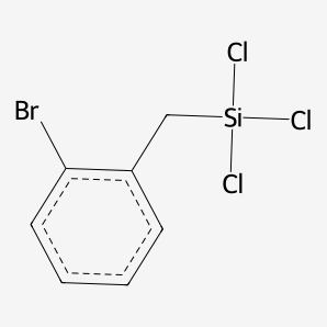 Cl[Si](Cl)(Cl)Cc1ccccc1Br